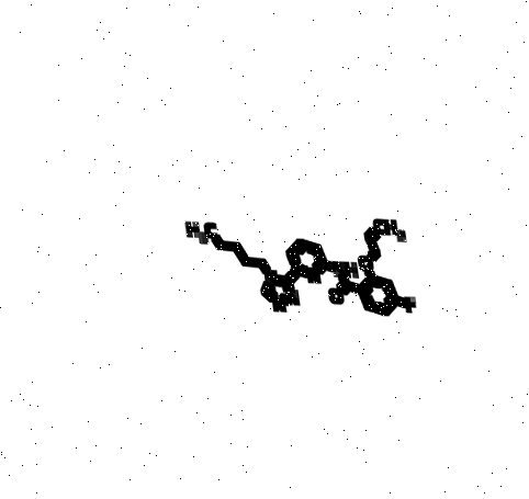 C=CCOc1cc(F)ccc1C(=O)Nc1cccc(-c2nncn2CCCCC)n1